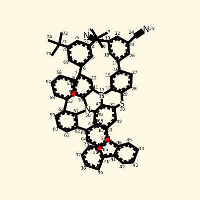 CC(C)(C)c1cc(-c2ccc3c(c2)B2c4cc(-c5cc(C#N)cc(C#N)c5)ccc4Sc4cc(-n5c6ccccc6c6ccccc65)cc(c42)N3c2c(-c3ccccc3)cccc2-c2ccccc2)cc(C(C)(C)C)c1